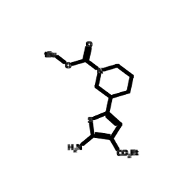 CCOC(=O)c1cc(C2CCCN(C(=O)OC(C)(C)C)C2)sc1N